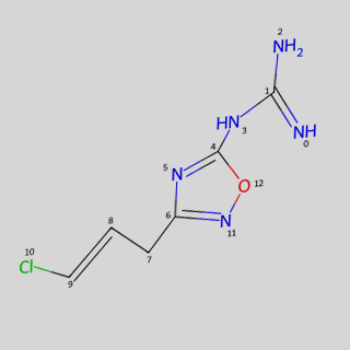 N=C(N)Nc1nc(CC=CCl)no1